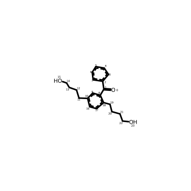 O=C(c1ccccc1)c1cc(CCCCO)ccc1CCCCO